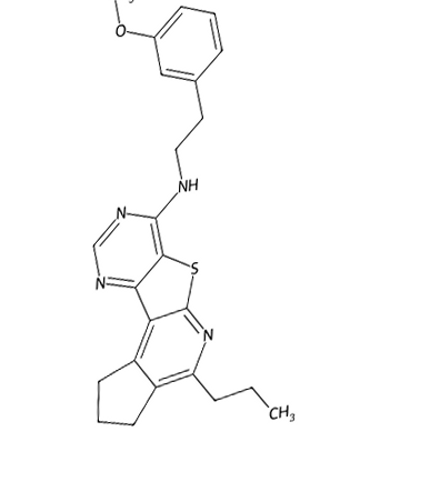 CCCc1nc2sc3c(NCCc4cccc(OC)c4)ncnc3c2c2c1CCC2